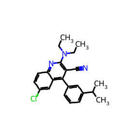 CCN(CC)c1nc2ccc(Cl)cc2c(-c2cccc(C(C)C)c2)c1C#N